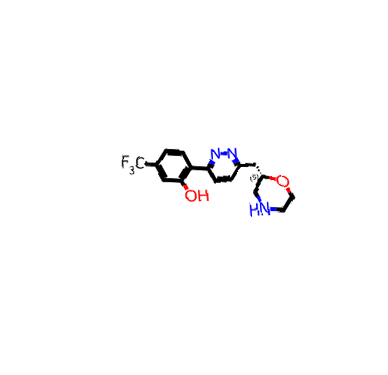 Oc1cc(C(F)(F)F)ccc1-c1ccc(C[C@H]2CNCCO2)nn1